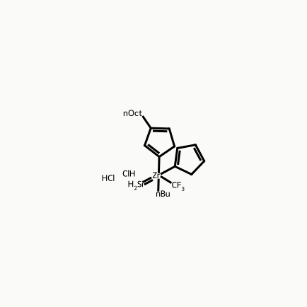 CCCCCCCCC1=CC[C]([Zr](=[SiH2])([CH2]CCC)([C]2=CC=CC2)[C](F)(F)F)=C1.Cl.Cl